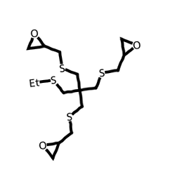 CCSCC(CSCC1CO1)(CSCC1CO1)CSCC1CO1